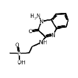 CP(=O)(O)CCNc1nc2ccccc2n(N)c1=O